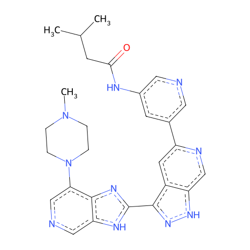 CC(C)CC(=O)Nc1cncc(-c2cc3c(-c4nc5c(N6CCN(C)CC6)cncc5[nH]4)n[nH]c3cn2)c1